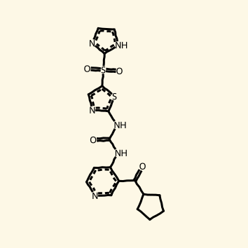 O=C(Nc1ncc(S(=O)(=O)c2ncc[nH]2)s1)Nc1ccncc1C(=O)C1CCCC1